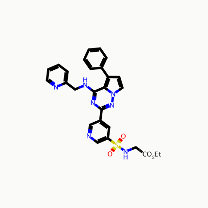 CCOC(=O)CNS(=O)(=O)c1cncc(-c2nc(NCc3ccccn3)c3c(-c4ccccc4)ccn3n2)c1